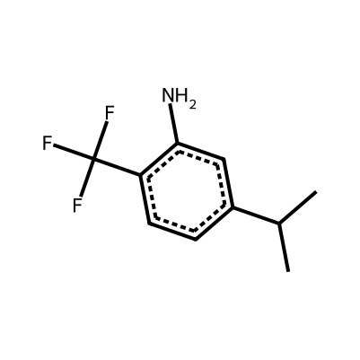 CC(C)c1ccc(C(F)(F)F)c(N)c1